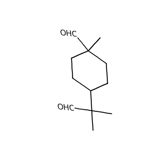 CC1(C=O)CCC(C(C)(C)C=O)CC1